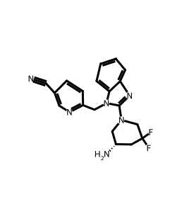 N#Cc1ccc(Cn2c(N3C[C@@H](N)CC(F)(F)C3)nc3ccccc32)nc1